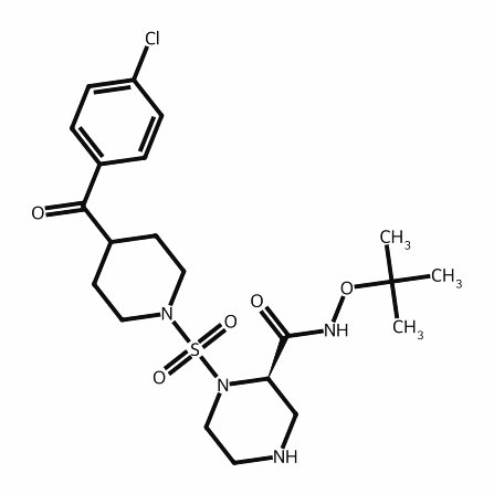 CC(C)(C)ONC(=O)[C@H]1CNCCN1S(=O)(=O)N1CCC(C(=O)c2ccc(Cl)cc2)CC1